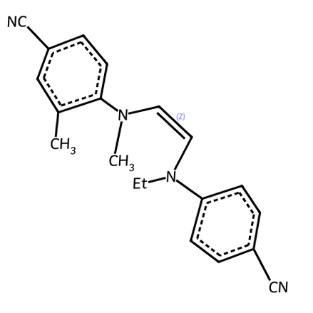 CCN(/C=C\N(C)c1ccc(C#N)cc1C)c1ccc(C#N)cc1